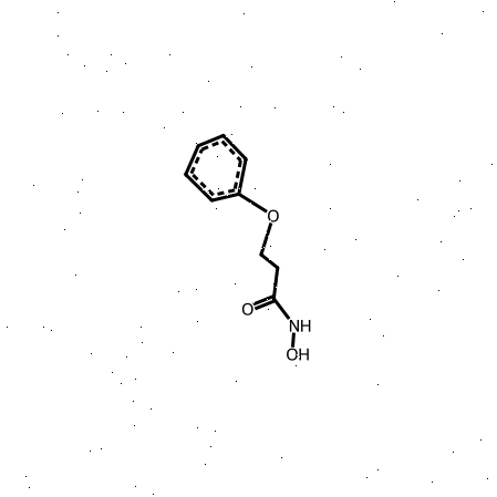 O=C(CCOc1ccccc1)NO